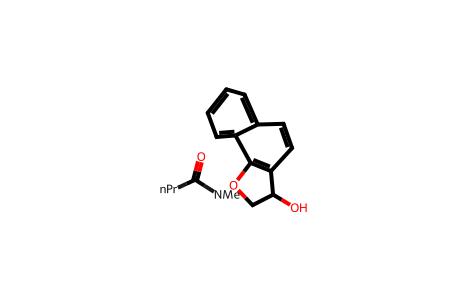 CCCC(=O)NC.OC1COc2c1ccc1ccccc21